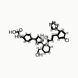 O=C(O)Nc1ccc(-c2c[nH]c([C@@H]3[C@H](CO)CCCN3C(=O)/C=C/c3cc(Cl)ccc3-n3cnnn3)n2)cc1